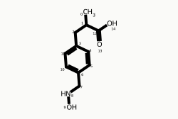 CC(Cc1ccc(CNO)cc1)C(=O)O